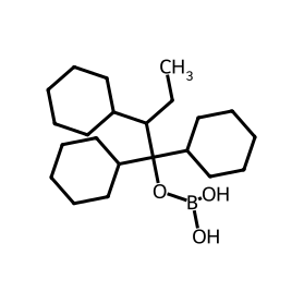 CCC(C1CCCCC1)C(OB(O)O)(C1CCCCC1)C1CCCCC1